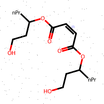 CCCC(CCO)OC(=O)/C=C\C(=O)OC(CCC)CCO